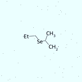 [CH2]C(C)[Se]C[CH]C